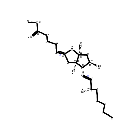 CCCCC[C@H](O)/C=C/[C@@H]1[C@H]2C/C(=C/CCCC(=O)OC)O[C@H]2C[C@H]1O